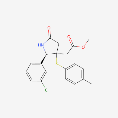 COC(=O)C[C@@]1(Sc2ccc(C)cc2)CC(=O)N[C@@H]1c1cccc(Cl)c1